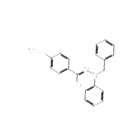 CCC(=NN(Cc1ccccc1)c1ccccc1)c1ccc(OC)cc1